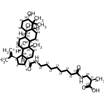 C=C(C)[C@@H]1CC[C@]2(C(=O)NCCCCCCCC(=O)NC[C@@H](C)C(=O)O)CC[C@]3(C)[C@H](CC[C@H]4[C@@]5(C)CC[C@H](O)C(C)(C)[C@@H]5CC[C@]43C)[C@@H]12